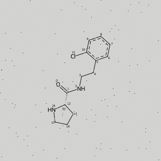 O=C(NCCc1ccccc1Cl)[C@@H]1CCCN1